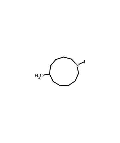 CC1CCCCCN(I)CCCC1